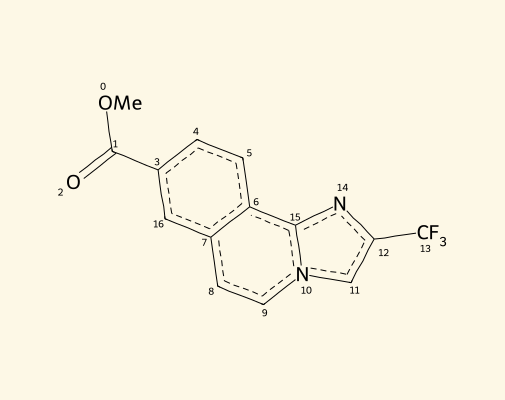 COC(=O)c1ccc2c(ccn3cc(C(F)(F)F)nc23)c1